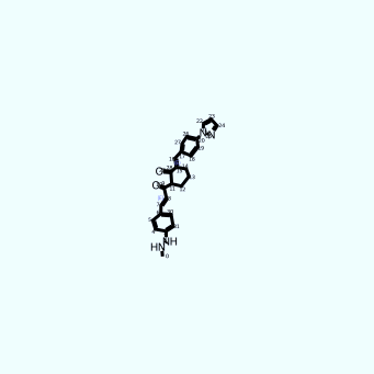 CNNc1ccc(/C=C/C(=O)C2CCC/C(=C\c3ccc(-n4cccn4)cc3)C2=O)cc1